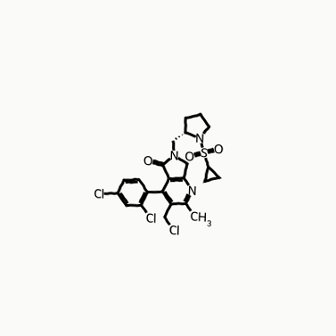 Cc1nc2c(c(-c3ccc(Cl)cc3Cl)c1CCl)C(=O)N(C[C@@H]1CCCN1S(=O)(=O)C1CC1)C2